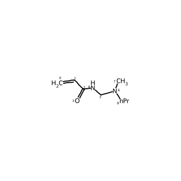 C=CC(=O)NCN(C)CCC